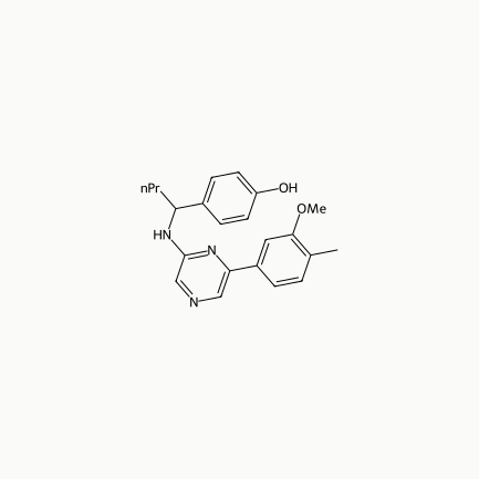 CCCC(Nc1cncc(-c2ccc(C)c(OC)c2)n1)c1ccc(O)cc1